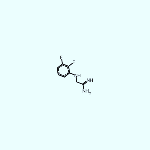 N=C(N)CNc1cccc(F)c1F